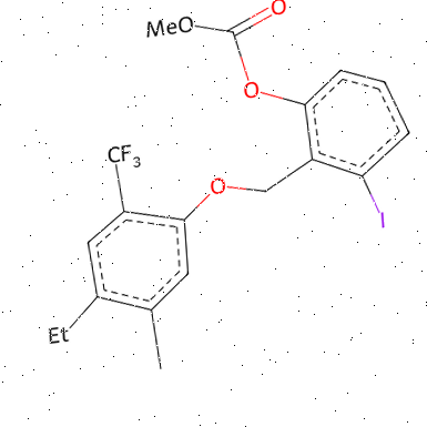 CCc1cc(C(F)(F)F)c(OCc2c(I)cccc2OC(=O)OC)cc1C